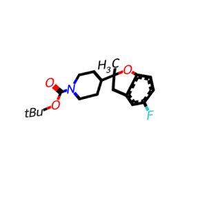 CC(C)(C)OC(=O)N1CCC(C2(C)Cc3cc(F)ccc3O2)CC1